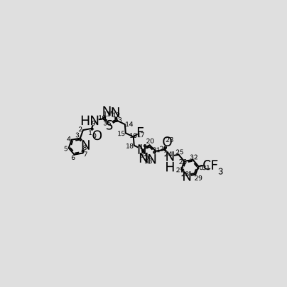 O=C(Cc1ccccn1)Nc1nnc(CCC(F)Cn2cc(C(=O)NCc3cncc(C(F)(F)F)c3)nn2)s1